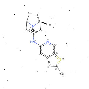 CN1C2CC[C@@H]1CC(Nc1cc3cc(C#N)sc3cn1)C2